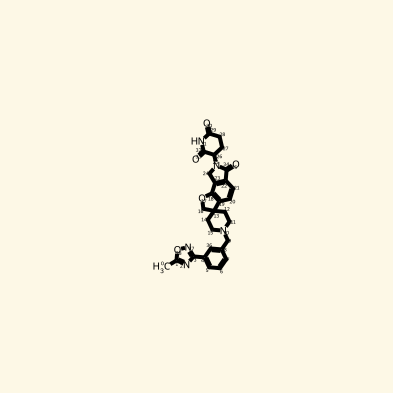 Cc1nc(-c2cccc(CN3CCC4(CC3)COc3c4ccc4c3CN(C3CCC(=O)NC3=O)C4=O)c2)no1